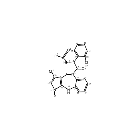 CC(C)C(=O)NC(C(=O)N1Cc2c(Cl)nn(C)c2Nc2ccccc21)c1ccccc1Cl